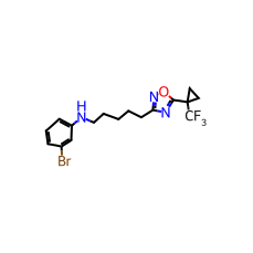 FC(F)(F)C1(c2nc(CCCCCNc3cccc(Br)c3)no2)CC1